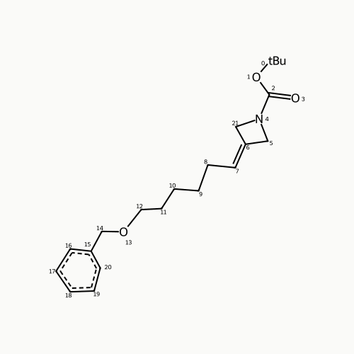 CC(C)(C)OC(=O)N1CC(=CCCCCCOCc2ccccc2)C1